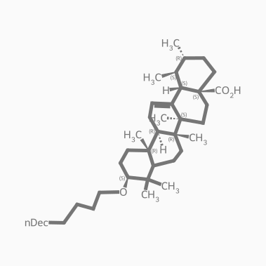 CCCCCCCCCCCCCCO[C@H]1CC[C@@]2(C)C(CC[C@]3(C)[C@@H]2CC=C2[C@@H]4[C@@H](C)[C@H](C)CC[C@]4(C(=O)O)CC[C@]23C)C1(C)C